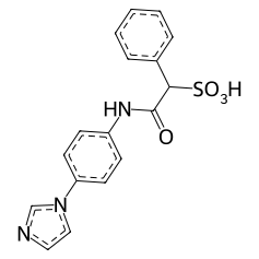 O=C(Nc1ccc(-n2ccnc2)cc1)C(c1ccccc1)S(=O)(=O)O